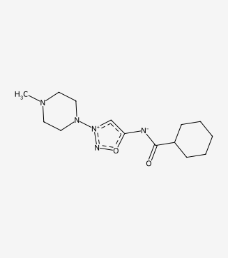 CN1CCN([n+]2cc([N-]C(=O)C3CCCCC3)on2)CC1